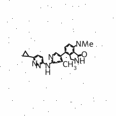 CNc1ccc(-c2cnc(Nc3ccc(C4CC4)nn3)cc2C)c2c1C(=O)NC2